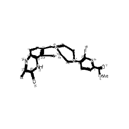 COC(=O)c1ccc(N2CCN(Cc3ccc4nc(C)c(=O)[nH]c4c3F)CC2)c(F)n1